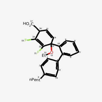 CCCCCc1ccc(-c2ccccc2C2(OCC)C=CC(C(=O)O)C(F)=C2F)cc1